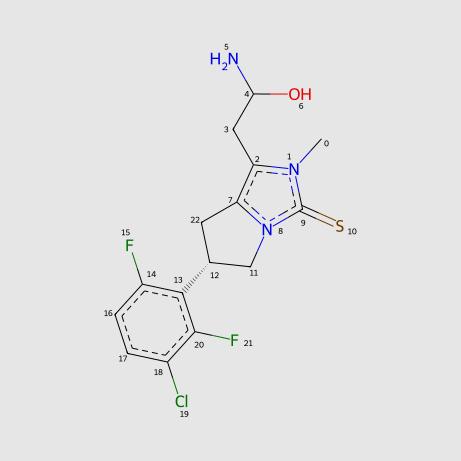 Cn1c(CC(N)O)c2n(c1=S)C[C@H](c1c(F)ccc(Cl)c1F)C2